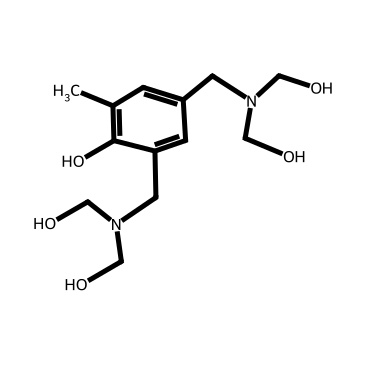 Cc1cc(CN(CO)CO)cc(CN(CO)CO)c1O